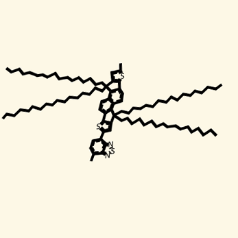 CCCCCCCCCCCCCCCCCC1(CCCCCCCCCCCCCCCCC)c2cc(C)sc2-c2ccc3c4c(ccc3c21)-c1sc(-c2ccc(C)c3nsnc23)cc1C4(CCCCCCCCCCCCCCCCC)CCCCCCCCCCCCCCCCC